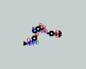 COc1cc2nccc(Oc3ccc(NC(=O)NC4CC4)c(Cl)c3)c2cc1C(=O)NOCc1ccc(B2OC(C)(C)C(C)(C)O2)cc1